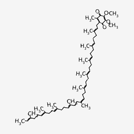 C/C=C(\C)CC/C=C(\C)CC/C=C(\C)CC/C=C(\C)CC/C(C)=C\CC/C(C)=C/CC/C(C)=C/CC/C(C)=C/CC/C(C)=C/CC/C(C)=C/CC1=C(C)C(=O)C(OC)=C(OC)C1=O